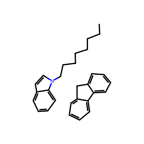 CCCCCCCCn1ccc2ccccc21.c1ccc2c(c1)Cc1ccccc1-2